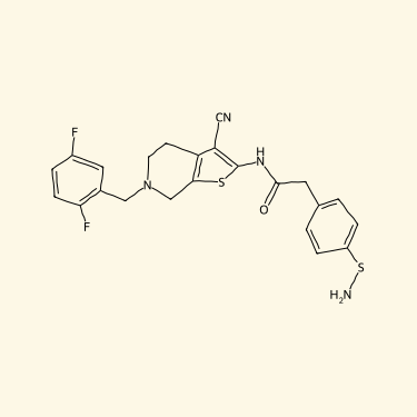 N#Cc1c(NC(=O)Cc2ccc(SN)cc2)sc2c1CCN(Cc1cc(F)ccc1F)C2